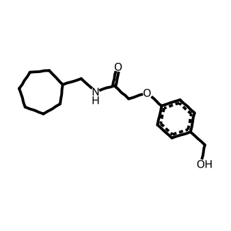 O=C(COc1ccc(CO)cc1)NCC1CCCCCC1